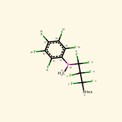 CCCCCCC(F)(F)C(F)(F)C(F)(F)P(C)c1c(F)c(F)c(F)c(F)c1F